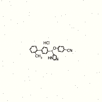 Cc1ccccc1-c1ccc(C(Oc2ccc(C#N)cc2)c2cnc[nH]2)cc1.Cl